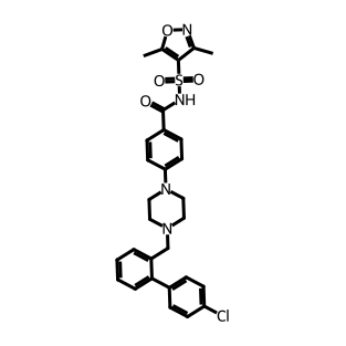 Cc1noc(C)c1S(=O)(=O)NC(=O)c1ccc(N2CCN(Cc3ccccc3-c3ccc(Cl)cc3)CC2)cc1